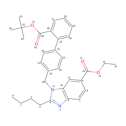 CCCCc1nc2ccc(C(=O)OCC)cc2n1Cc1ccc(-c2ccccc2C(=O)OC(C)(C)C)cc1